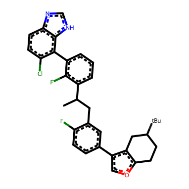 CC(Cc1cc(-c2coc3c2CC(C(C)(C)C)CC3)ccc1F)c1cccc(-c2c(Cl)ccc3nc[nH]c23)c1F